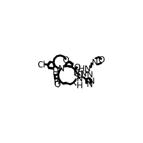 CO[C@H]1/C=C/C[C@H](C)CS(=O)(Nc2nc(NCCN3CCOCC3)nc3nn(C)cc23)=NC(=O)c2ccc3c(c2)N(Cc2ccc(Cl)cc2CCCCO3)C[C@@H]2CC[C@H]21